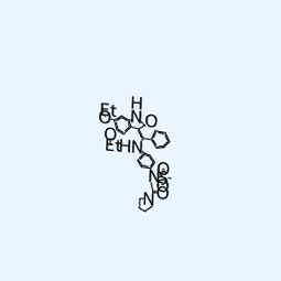 CCOc1cc2c(cc1OCC)C(=C(Nc1ccc(N(CC(=O)N3CCCC3)S(C)(=O)=O)cc1)c1ccccc1)C(=O)N2